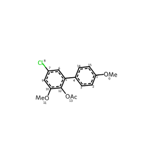 COc1ccc(-c2cc(Cl)cc(OC)c2OC(C)=O)cc1